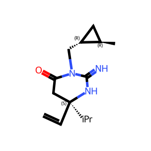 C=C[C@@]1(C(C)C)CC(=O)N(C[C@@H]2C[C@H]2C)C(=N)N1